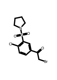 O=C(CBr)c1ccc(Cl)c(S(=O)(=O)N2CCCC2)c1